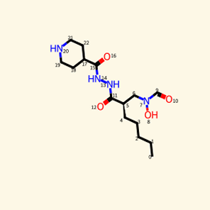 CCCCC[C@H](CN(O)C=O)C(=O)NNC(=O)C1CCNCC1